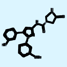 CCCc1cccc(-c2cc(NC(=O)[C@@H]3CNC(=O)C3)nn2-c2cccc(OC)c2)c1